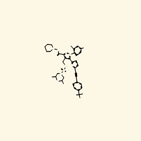 CC1CN(S(=O)(=O)NCc2c(C(=O)NN3CCCCC3)nn(-c3ccc(Cl)cc3Cl)c2-c2ccc(C#Cc3ccc(C(F)(F)F)cc3)s2)CC(C)O1